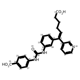 O=C(O)CCCC=C(c1cccnc1)c1cccc(NC(=O)Nc2ccc(C(=O)O)cc2)c1